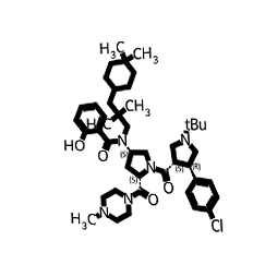 CN1CCN(C(=O)[C@@H]2C[C@H](N(CC(C)(C)CC3CCC(C)(C)CC3)C(=O)c3ccccc3O)CN2C(=O)[C@@H]2CN(C(C)(C)C)C[C@H]2c2ccc(Cl)cc2)CC1